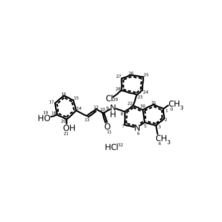 Cc1cc(C)c2ncc(NC(=O)/C=C/c3cccc(O)c3O)c(-c3ccccc3Cl)c2c1.Cl